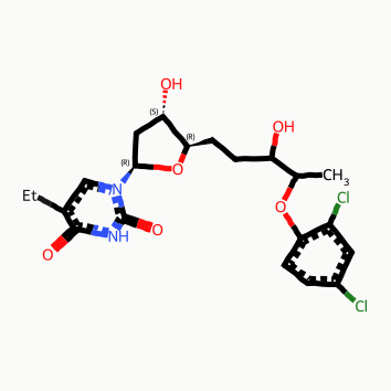 CCc1cn([C@H]2C[C@H](O)[C@@H](CCC(O)C(C)Oc3ccc(Cl)cc3Cl)O2)c(=O)[nH]c1=O